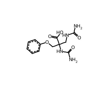 NC(=O)NCC(COc1ccccc1)(NC(N)=O)C(=O)O